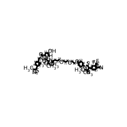 Cc1ncsc1-c1ccc(CNC(=O)[C@@H]2C[C@@H](O)CN2C(=O)C(NC(=O)CCCOCCCOCCOc2ccc(N3C(=S)C(c4ccc(C#N)c(C(F)(F)F)c4)C(=O)C3(C)C)cc2)C(C)(C)C)cc1